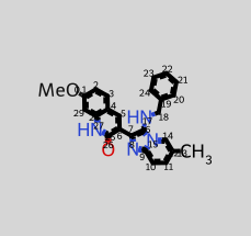 COc1ccc2cc(-c3nc4ccc(C)cn4c3NCc3ccccc3)c(=O)[nH]c2c1